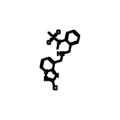 CN(c1ccccc1CNCc1cccn2nc(Cl)nc12)S(C)(=O)=O